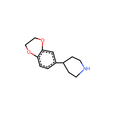 c1cc2c(cc1C1CCNCC1)OCCO2